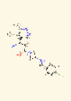 Cc1nnc2sc(C(O)N3CC(NCc4ccc(F)cc4)C3)c(N)c2c1C